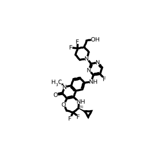 Cn1c(=O)c2c(c3cc(Nc4nc(N5CCC(F)(F)C(CO)C5)ncc4F)ccc31)N[C@@H](C1CC1)C(F)(F)CO2